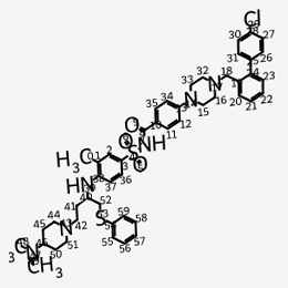 Cc1cc(S(=O)(=O)NC(=O)c2ccc(N3CCN(Cc4ccccc4-c4ccc(Cl)cc4)CC3)cc2)ccc1N[C@H](CCN1CCC(N(C)C)CC1)CSc1ccccc1